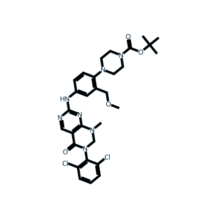 COCc1cc(Nc2ncc3c(n2)N(C)CN(c2c(Cl)cccc2Cl)C3=O)ccc1N1CCN(C(=O)OC(C)(C)C)CC1